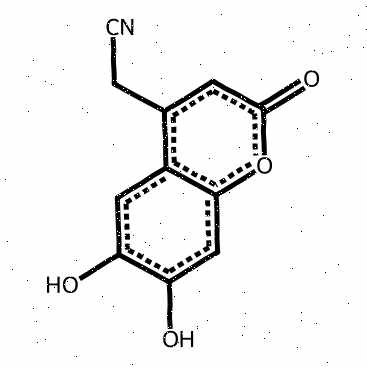 N#CCc1cc(=O)oc2cc(O)c(O)cc12